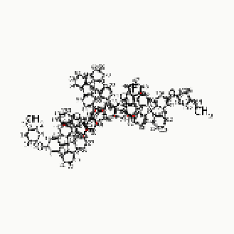 C=Cc1ccc(Oc2ccc(C3(c4ccc(F)cc4)c4ccccc4-c4ccc(-c5ccc(N(c6ccc(-c7cccc8c7oc7ccccc78)cc6)c6ccc7c(c6)C6(c8ccccc8-7)c7ccccc7-c7ccc(N(c8ccc(-c9ccc%10c(c9)C(c9ccc(F)cc9)(c9ccc(Oc%11ccc(C=C)cc%11)cc9)c9ccccc9-%10)cc8)c8ccc(-c9cccc%10c9oc9ccccc9%10)cc8)cc76)cc5)cc43)cc2)cc1